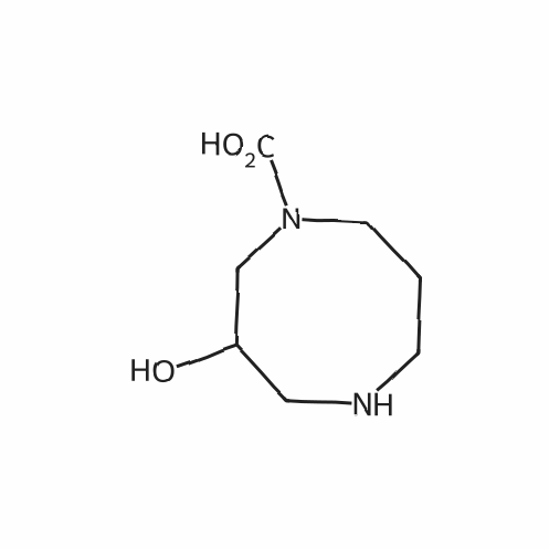 O=C(O)N1CCCNCC(O)C1